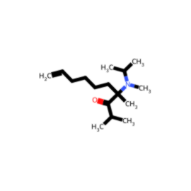 C=CCCCCC(C)(C(=O)C(C)C)N(C)C(C)C